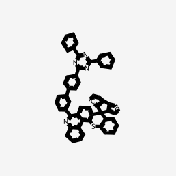 c1ccc(-c2nc(-c3ccccc3)nc(-c3ccc(-c4cccc(-c5nc6ccccc6c6c7c(ccc56)C5(c6ccccc6S7)c6ccccc6-c6ccccc65)c4)cc3)n2)cc1